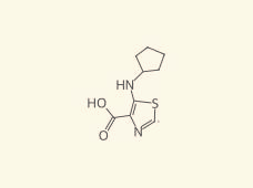 O=C(O)c1n[c]sc1NC1CCCC1